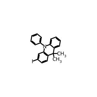 CC1(C)c2ccccc2N(c2ccccc2)c2cc(I)ccc21